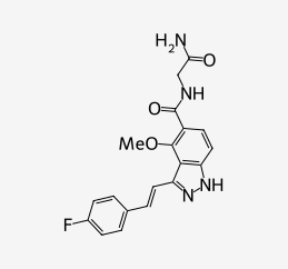 COc1c(C(=O)NCC(N)=O)ccc2[nH]nc(C=Cc3ccc(F)cc3)c12